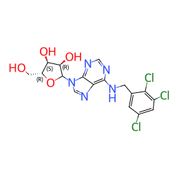 OC[C@H]1OC(n2cnc3c(NCc4cc(Cl)cc(Cl)c4Cl)ncnc32)[C@H](O)[C@@H]1O